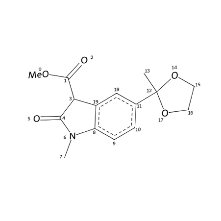 COC(=O)C1C(=O)N(C)c2ccc(C3(C)OCCO3)cc21